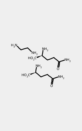 NC(=O)CC[C@H](N)C(=O)O.NC(=O)CC[C@H](N)C(=O)O.NCCN